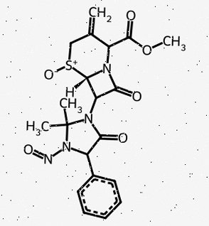 C=C1C[S+]([O-])[C@H]2C(N3C(=O)C(c4ccccc4)N(N=O)C3(C)C)C(=O)N2C1C(=O)OC